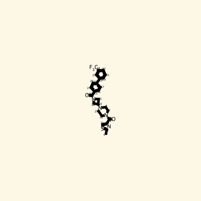 Cc1nc(C(=O)N2CCN(C3CN(C(=O)c4ccc(-c5cccc(C(F)(F)F)c5)cc4)C3)CC2)cs1